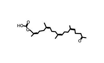 CC(=O)CCC=C(C)CCC=C(C)CCC=C(C)CCC=C(C)COC(=O)O